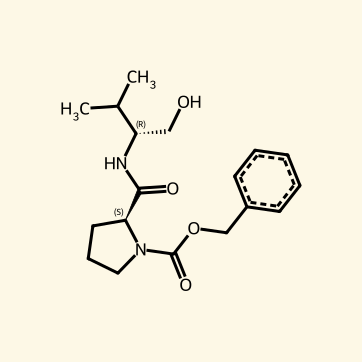 CC(C)[C@H](CO)NC(=O)[C@@H]1CCCN1C(=O)OCc1ccccc1